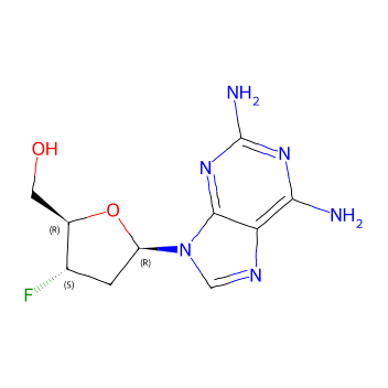 Nc1nc(N)c2ncn([C@H]3C[C@H](F)[C@@H](CO)O3)c2n1